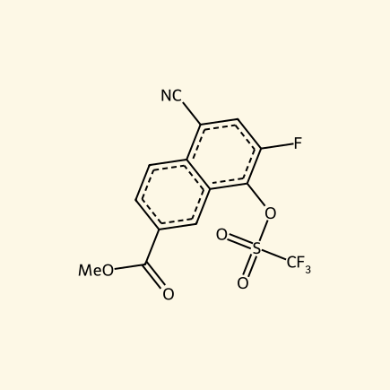 COC(=O)c1ccc2c(C#N)cc(F)c(OS(=O)(=O)C(F)(F)F)c2c1